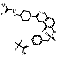 Cc1ccc(NS(=O)(=O)Cc2ccccc2)c(=O)n1CC(=O)N1CCC(ONC(=N)N)CC1.O=C(O)C(F)(F)F